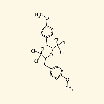 COc1ccc(CC(OC(Cc2ccc(OC)cc2)C(Cl)(Cl)Cl)C(Cl)(Cl)Cl)cc1